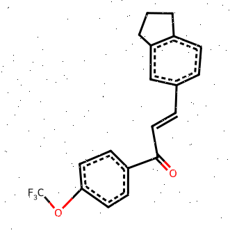 O=C(C=Cc1ccc2c(c1)CCC2)c1ccc(OC(F)(F)F)cc1